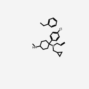 C=CCN(CC1CC1)C1(c2ccc(Cl)cc2)CCC(NC)CC1.CCc1ccccc1